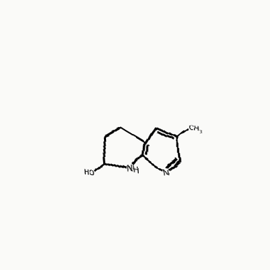 Cc1cnc2c(c1)CCC(O)N2